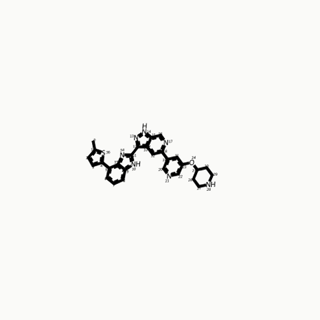 Cc1ccc(-c2cccc3[nH]c(-c4n[nH]c5cnc(-c6cncc(OC7CCNCC7)c6)cc45)nc23)s1